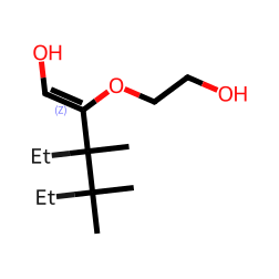 CCC(C)(C)C(C)(CC)/C(=C/O)OCCO